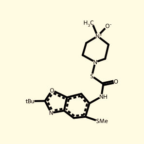 CSc1cc2nc(C(C)(C)C)oc2cc1NC(=O)SN1CC[N+](C)([O-])CC1